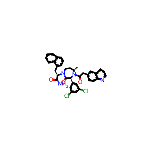 C[C@@H]1CCN([C@H](Cc2cccc3ccccc23)C(N)=O)C(=O)[C@H](c2cc(Cl)cc(Cl)c2)N1C(=O)Cc1ccc2ncccc2c1